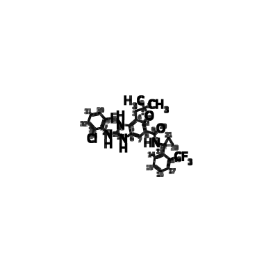 CC1(C)Cc2c3c(cc(C(=O)NC4(c5ccccc5C(F)(F)F)CC4)c2O1)NC(Nc1c(F)cccc1Cl)N3